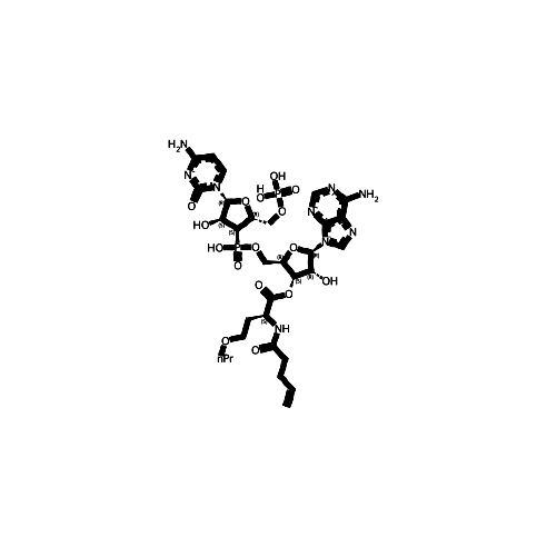 C=CCCC(=O)N[C@@H](CCOCCC)C(=O)O[C@H]1[C@@H](O)[C@H](n2cnc3c(N)ncnc32)O[C@@H]1COP(=O)(O)[C@H]1[C@@H](O)[C@H](n2ccc(N)nc2=O)O[C@@H]1COP(=O)(O)O